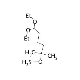 CCOC(CCCC(C)(C)O[SiH3])OCC